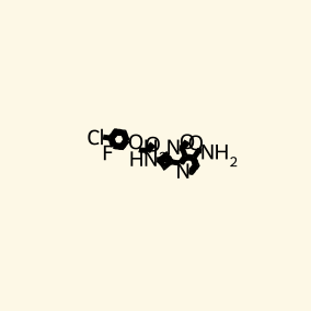 NC(=O)c1ccnc(C23CC(NC(=O)COc4ccc(Cl)c(F)c4)(C2)C3)c1C(N)=O